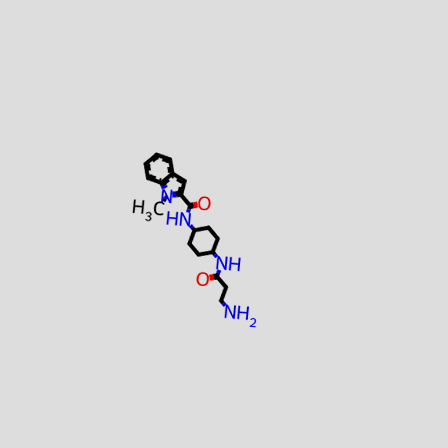 Cn1c(C(=O)NC2CCC(NC(=O)CCN)CC2)cc2ccccc21